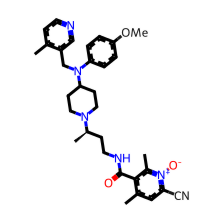 COc1ccc(N(Cc2cnccc2C)C2CCN([C@H](C)CCNC(=O)c3c(C)cc(C#N)[n+]([O-])c3C)CC2)cc1